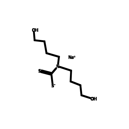 OCCCCN(CCCCO)C(=S)[S-].[Na+]